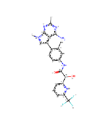 Cc1nc(N)c2c(-c3ccc(NC(=O)C(O)c4cccc(C(F)(F)F)n4)cc3C)cn(C)c2n1